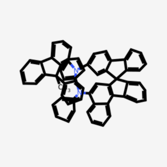 CC12c3ccccc3-c3cccc(c31)N(c1ccc3c(c1)C1(c4ccccc4-3)c3ccccc3-c3c1cc(N(c1ccccc1)c1ccccc1)c1ccccc31)c1ccccc12